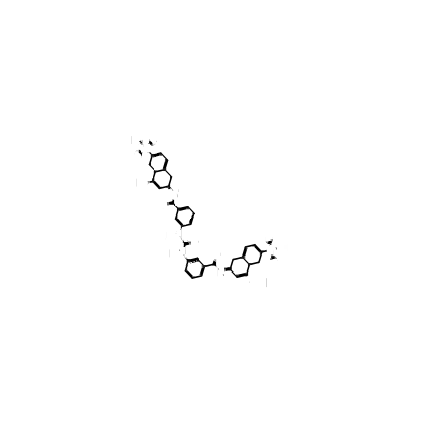 O=C(Nc1cccc(C(=O)N=C2C=C(O)C3CC(S(=O)(=O)O)=CC=C3C2)c1)Nc1cccc(C(=O)N=C2C=C(O)C3CC(S(=O)(=O)O)=CC=C3C2)c1